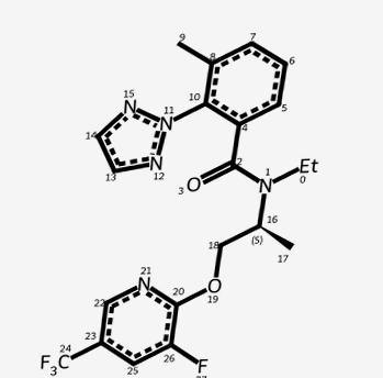 CCN(C(=O)c1cccc(C)c1-n1nccn1)[C@@H](C)COc1ncc(C(F)(F)F)cc1F